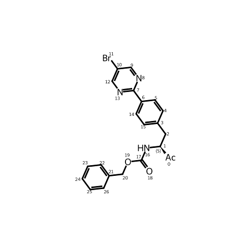 CC(=O)[C@H](Cc1ccc(-c2ncc(Br)cn2)cc1)NC(=O)OCc1ccccc1